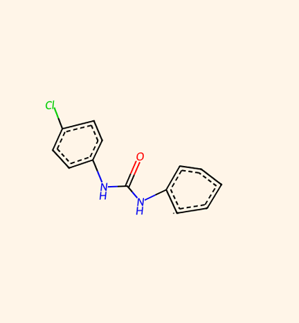 O=C(Nc1[c]cccc1)Nc1ccc(Cl)cc1